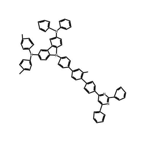 Cc1ccc(N(c2ccc(C)cc2)c2ccc3c(c2)c2cc(N(c4ccccc4)c4ccccc4)ccc2n3-c2ccc(-c3ccc(-c4ccc(-c5cc(-c6ccccc6)nc(-c6ccccc6)n5)cc4)c(C)c3)cc2)cc1